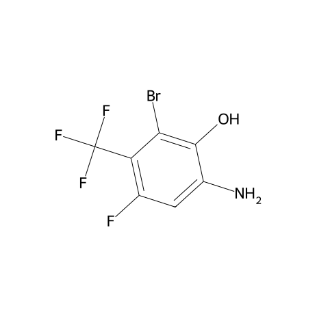 Nc1cc(F)c(C(F)(F)F)c(Br)c1O